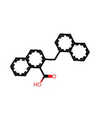 O=C(O)c1c(Cc2cccc3ccccc23)ccc2ccccc12